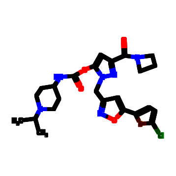 CC(C)N1CCC(NC(=O)Oc2cc(C(=O)N3CCC3)nn2Cc2cc(-c3ccc(Cl)s3)on2)CC1